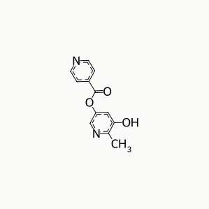 Cc1ncc(OC(=O)c2ccncc2)cc1O